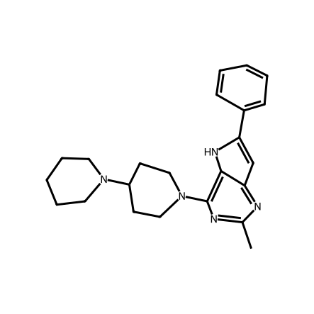 Cc1nc(N2CCC(N3CCCCC3)CC2)c2[nH]c(-c3ccccc3)cc2n1